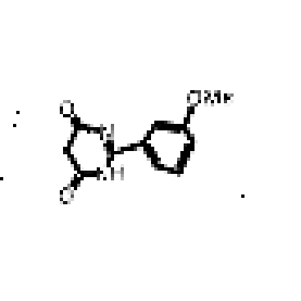 COc1cccc(C2=NC(=O)CC(=O)N2)c1